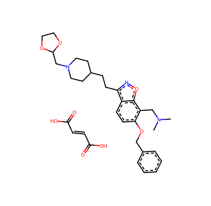 CN(C)Cc1c(OCc2ccccc2)ccc2c(CCC3CCN(CC4OCCO4)CC3)noc12.O=C(O)C=CC(=O)O